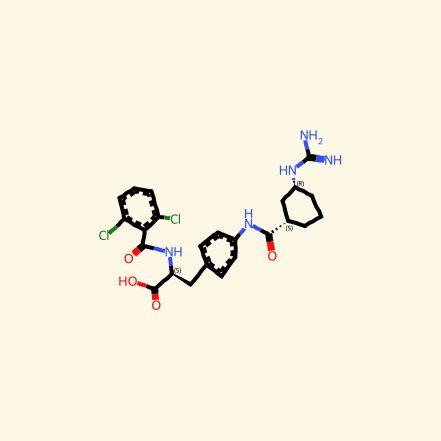 N=C(N)N[C@@H]1CCC[C@H](C(=O)Nc2ccc(C[C@H](NC(=O)c3c(Cl)cccc3Cl)C(=O)O)cc2)C1